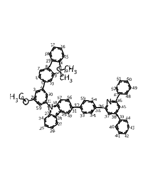 COc1cc(-c2ccc3c(c2)[Si](C)(C)c2ccccc2-3)cc(-n2c3ccccc3c3cc(-c4ccc(-c5cc(-c6ccccc6)cc(-c6ccccc6)n5)cc4)ccc32)c1